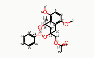 COc1ccc(OC)c2c1CC1(COC(C)=O)C[C@@H]2OB(c2ccccc2)O1